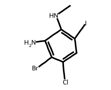 CNc1c(I)cc(Cl)c(Br)c1N